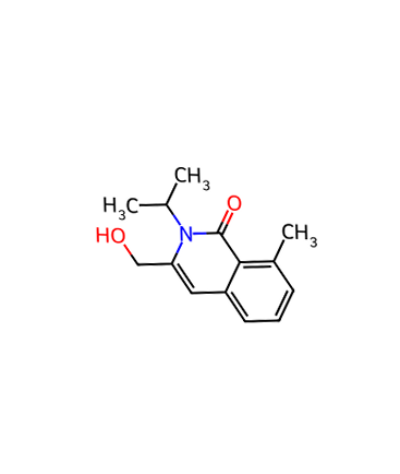 Cc1cccc2cc(CO)n(C(C)C)c(=O)c12